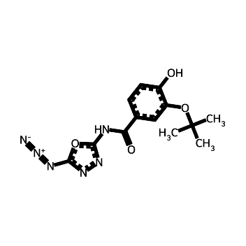 CC(C)(C)Oc1cc(C(=O)Nc2nnc(N=[N+]=[N-])o2)ccc1O